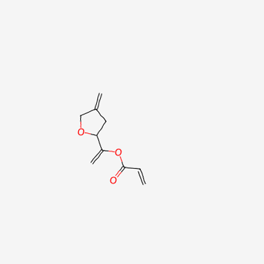 C=CC(=O)OC(=C)C1CC(=C)CO1